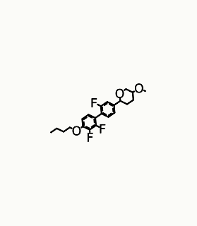 CCCCOc1ccc(-c2ccc(C3CCC(OC)CO3)cc2F)c(F)c1F